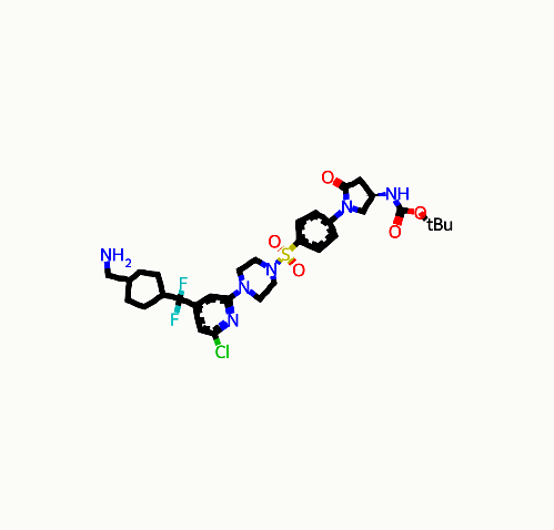 CC(C)(C)OC(=O)N[C@@H]1CC(=O)N(c2ccc(S(=O)(=O)N3CCN(c4cc(C(F)(F)C5CCC(CN)CC5)cc(Cl)n4)CC3)cc2)C1